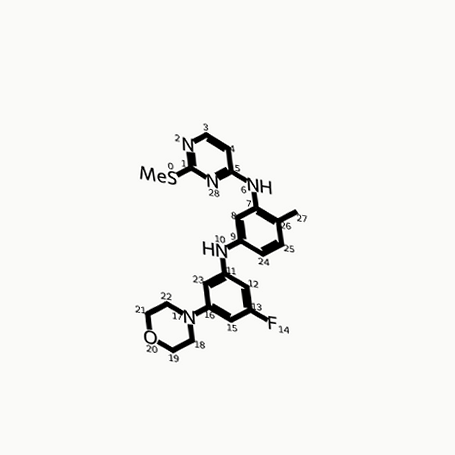 CSc1nccc(Nc2cc(Nc3cc(F)cc(N4CCOCC4)c3)ccc2C)n1